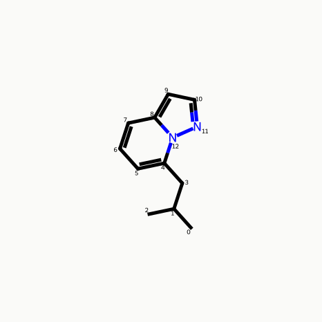 CC(C)Cc1cccc2ccnn12